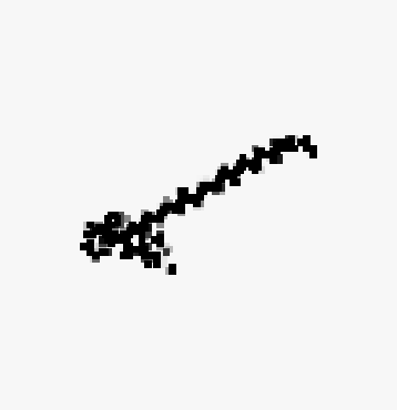 C=C(C(=O)O)C(CCCCCCCCCCCCCCCCCC)CC(C)C